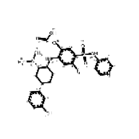 Cc1cccc([C@H]2CC[C@H](Nc3cc(F)c(S(=O)(=O)Nc4ccncn4)cc3Cl)[C@@H](N(C)C)C2)c1.O=CO